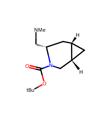 CNC[C@@H]1C[C@@H]2C[C@@H]2CN1C(=O)OC(C)(C)C